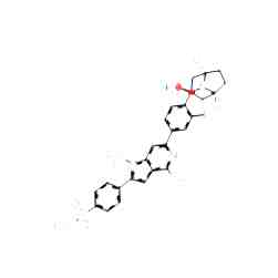 CCN1[C@@H]2CC[C@H]1CC(O)(c1ccc(-c3cc4c(cc(-c5ccc(S(C)(=O)=O)cc5)n4C)c(C)n3)cc1F)C2